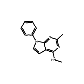 CNc1nc(C)nc2c1ccn2-c1ccccc1